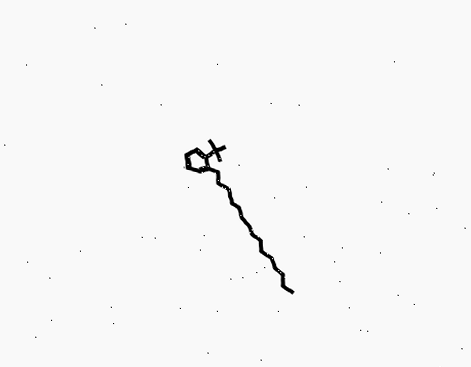 CCCCCCCCCCCCCCCc1c[c]ccc1C(C)(C)C